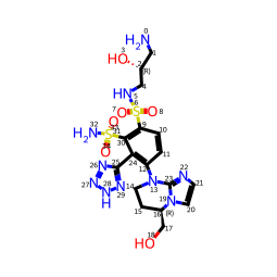 NC[C@@H](O)CNS(=O)(=O)c1ccc(N2CC[C@H](CO)n3ccnc32)c(-c2nn[nH]n2)c1S(N)(=O)=O